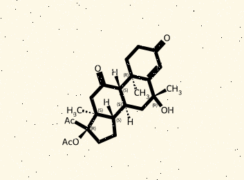 CC(=O)O[C@]1(C(C)=O)CC[C@H]2[C@@H]3C[C@@](C)(O)C4=CC(=O)CC[C@]4(C)[C@H]3C(=O)C[C@@]21C